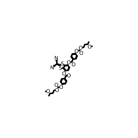 COC(C)CCOC(=O)Oc1ccc(C(=O)Oc2ccc(OC(=O)c3ccc(OC(=O)OCCC(C)OC)cc3)c3c2SC(=C(C#N)C#N)S3)cc1